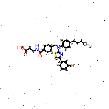 CCCCc1ccc(N(Cc2ccc(C(=O)NCCC(=O)O)cc2)c2nc(-c3cccc(Br)c3)cs2)cc1